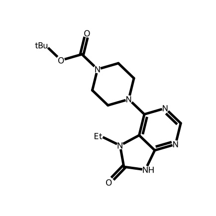 CCn1c(=O)[nH]c2ncnc(N3CCN(C(=O)OC(C)(C)C)CC3)c21